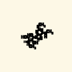 CNc1nc(SC)nc2c1ncn2C(O)C(O)C1(CO)CC1C